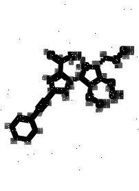 NC(=O)c1nc(C#CC2=CCCCC2)nn1[C@@H]1O[C@H](COO)[C@@H](OO)[C@H]1OO